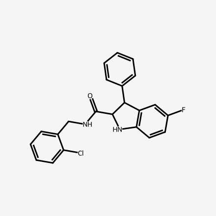 O=C(NCc1ccccc1Cl)C1Nc2ccc(F)cc2C1c1ccccc1